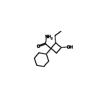 CCC1C(O)CC1(C(N)=O)C1CCCCC1